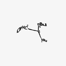 CCCCC(C=O)C(C)(C)C